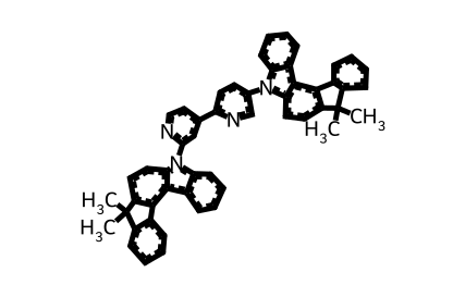 CC1(C)c2ccccc2-c2c1ccc1c2c2ccccc2n1-c1ccc(-c2ccnc(-n3c4ccccc4c4c5c(ccc43)C(C)(C)c3ccccc3-5)c2)nc1